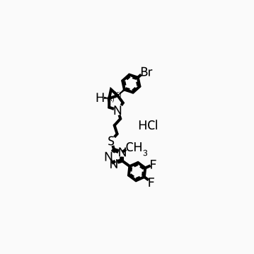 Cl.Cn1c(SCCCN2C[C@@H]3C[C@]3(c3ccc(Br)cc3)C2)nnc1-c1ccc(F)c(F)c1